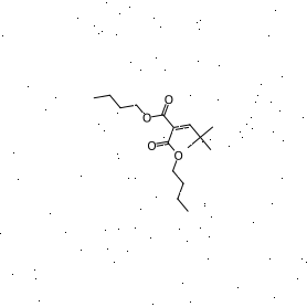 CCCCOC(=O)C(=CC(C)(C)C)C(=O)OCCCC